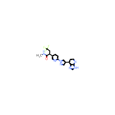 CNC(=O)C(CC(F)(F)F)c1ccc(-n2cc(-c3ccnc4[nH]cnc34)cn2)nc1